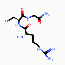 CC(C)C[C@H](NC(=O)[C@@H](N)CCCNC(=N)N)C(=O)NCC(N)=O